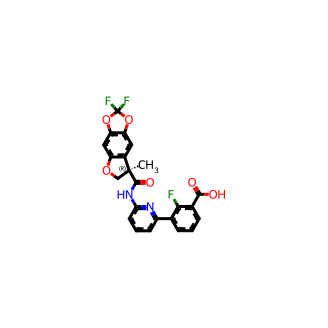 C[C@]1(C(=O)Nc2cccc(-c3cccc(C(=O)O)c3F)n2)COc2cc3c(cc21)OC(F)(F)O3